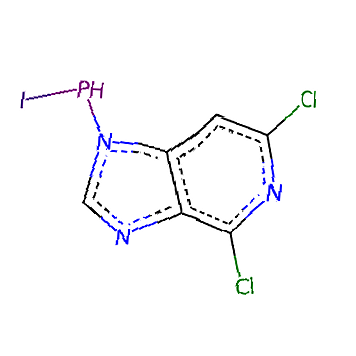 Clc1cc2c(ncn2PI)c(Cl)n1